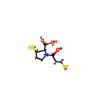 O=C(O)C1C(S)CCN1C(=O)CCS